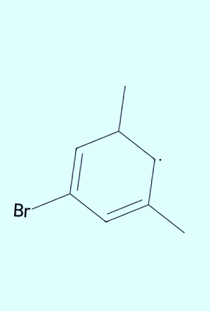 CC1=CC(Br)=CC(C)[CH]1